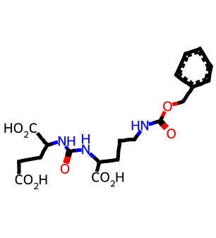 O=C(O)CCC(NC(=O)NC(CCCNC(=O)OCc1ccccc1)C(=O)O)C(=O)O